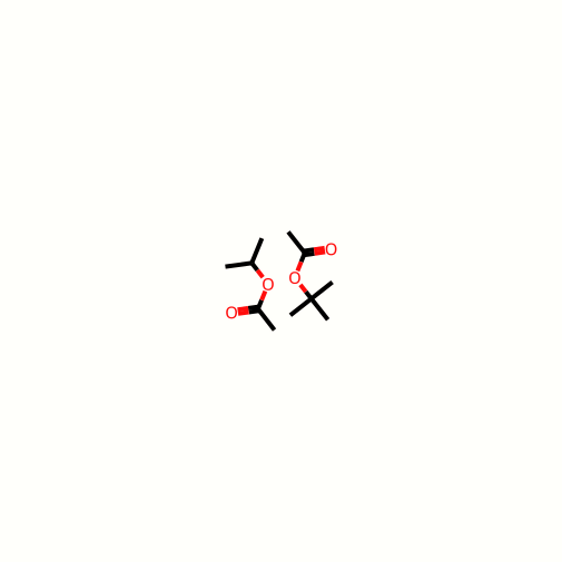 CC(=O)OC(C)(C)C.CC(=O)OC(C)C